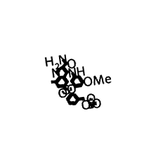 COc1cccc(Nc2c(C(N)=O)cnc3c(C)cc(S(=O)(=O)c4cccc(COS(C)(=O)=O)c4)cc23)c1